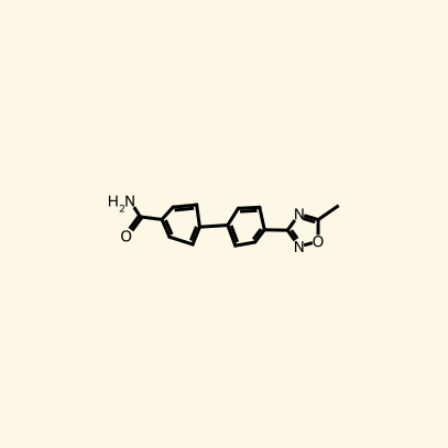 Cc1nc(-c2ccc(-c3ccc(C(N)=O)cc3)cc2)no1